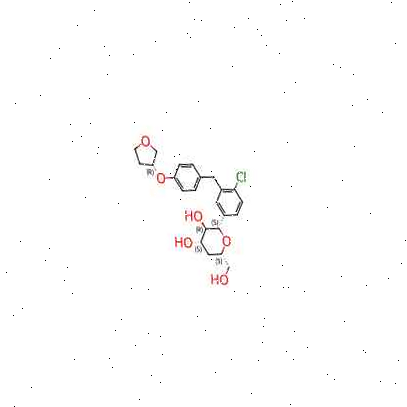 OC[C@@H]1C[C@H](O)[C@@H](O)[C@H](c2ccc(Cl)c(Cc3ccc(O[C@@H]4CCOC4)cc3)c2)O1